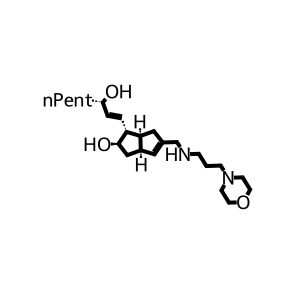 CCCCC[C@H](O)/C=C/[C@@H]1[C@H]2CC(CNCCCN3CCOCC3)=C[C@H]2C[C@H]1O